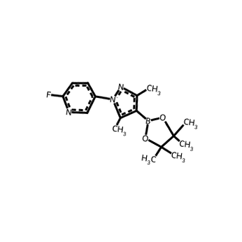 Cc1nn(-c2ccc(F)nc2)c(C)c1B1OC(C)(C)C(C)(C)O1